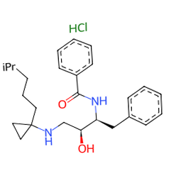 CC(C)CCCC1(NC[C@H](O)[C@H](Cc2ccccc2)NC(=O)c2ccccc2)CC1.Cl